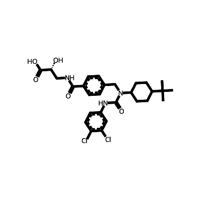 CC(C)(C)C1CCC(N(Cc2ccc(C(=O)NC[C@@H](O)C(=O)O)cc2)C(=O)Nc2ccc(Cl)c(Cl)c2)CC1